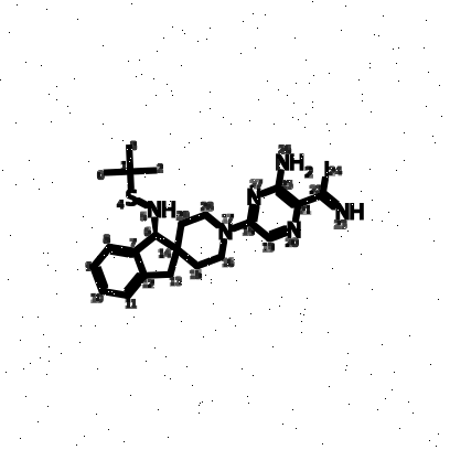 CC(C)(C)SN[C@@H]1c2ccccc2CC12CCN(c1cnc(C(=N)I)c(N)n1)CC2